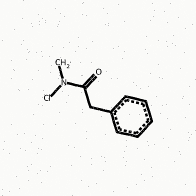 [CH2]N(Cl)C(=O)Cc1ccccc1